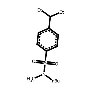 CCCCN(C)S(=O)(=O)c1ccc(C(CC)CC)cc1